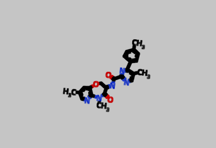 Cc1ccc(-c2nc(C(=O)/N=C3\COc4cc(C)cnc4N(C)C3=O)ncc2C)cc1